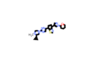 CN1CCN(c2ncc(-c3ccc(-c4cnn(C5CCCCO5)c4)c4ncsc34)nn2)CC1C1CC1